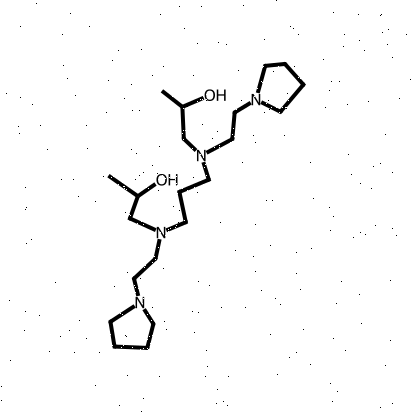 CC(O)CN(CCCN(CCN1CCCC1)CC(C)O)CCN1CCCC1